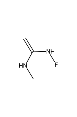 C=C(NC)NF